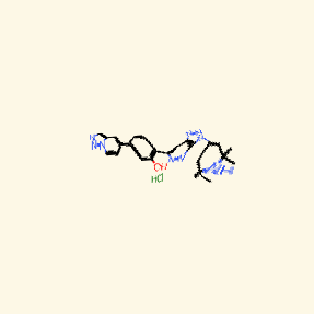 CC1(C)CC(n2nnc3cc(-c4ccc(-c5ccn6nncc6c5)cc4O)nnc32)CC(C)(C)N1.Cl